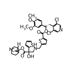 COc1ccc([C@H](Cc2c(Cl)cncc2Cl)OC(=O)c2ccc(CNCC(O)(C(=O)O[C@H]3CN4CCC3CC4)c3cccs3)s2)cc1OC